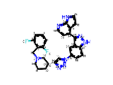 Fc1cccc(F)c1CN1CCC[C@@H](c2cn(-c3ccc4[nH]nc(-c5ccnc6[nH]ccc56)c4c3)nn2)C1